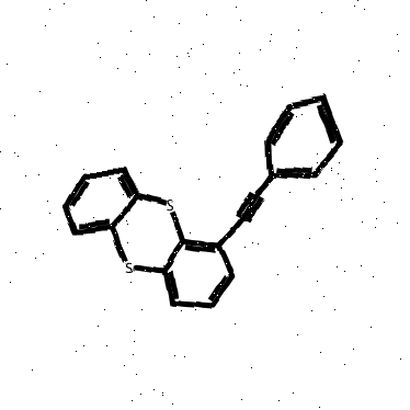 C(#Cc1cccc2c1Sc1ccccc1S2)c1cc[c]cc1